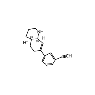 C#Cc1cncc(C2=C[C@@H]3NCCC[C@@H]3CC2)c1